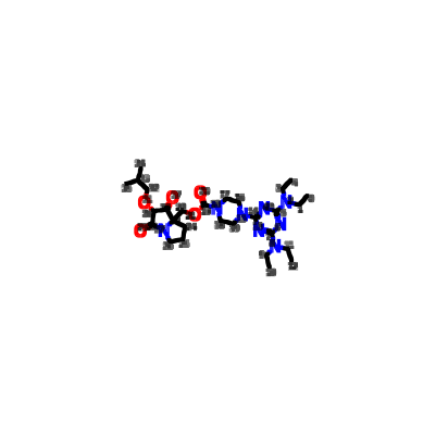 CCN(CC)c1nc(N(CC)CC)nc(N2CCN(C(=O)OCC34CCCN3C(=O)C(OCC(C)C)C4=O)CC2)n1